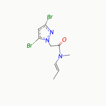 CC=CN(C)C(=O)Cn1nc(Br)cc1Br